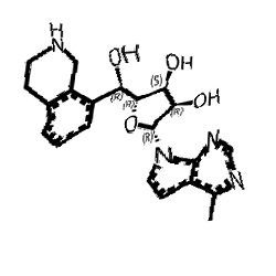 Cc1ncnc2c1ccn2[C@@H]1O[C@H]([C@H](O)c2cccc3c2CNCC3)[C@@H](O)[C@H]1O